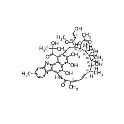 CO[C@@H](/C=C/O)[C@@H]1Cc2c(C)c(O)c3c(O)c(c4c(nc5cc(C)ccn54)c3c2C(=O)C(C)(C)O)NC(=O)/C(C)=C\C=C\[C@H](C)[C@H](O)[C@@H](C)[C@@H](O)[C@@H](C)[C@@H]1OC(C)=O